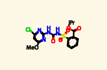 COc1cc(Cl)nc(NC(=O)NS(=O)(=O)c2ccccc2C(=O)OC(C)C)n1